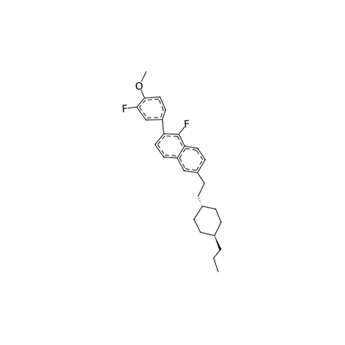 CCC[C@H]1CC[C@H](CCc2ccc3c(F)c(-c4ccc(OC)c(F)c4)ccc3c2)CC1